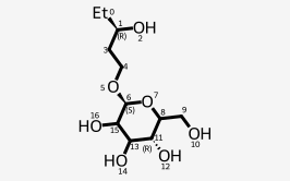 CC[C@@H](O)CCO[C@H]1OC(CO)[C@H](O)C(O)C1O